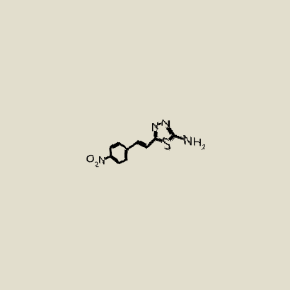 Nc1nnc(C=Cc2ccc([N+](=O)[O-])cc2)s1